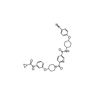 N#Cc1ccc(OC2CCC(NC(=O)c3ccc(C(=O)N4CCC(Oc5cccc(NC(=O)C6CC6)c5)CC4)nc3)CC2)cc1